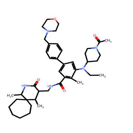 CCN(c1cc(-c2ccc(CN3CCOCC3)cc2)cc(C(=O)NCC2C(=O)NC(C)C3(CCCCCC3)C2C)c1C)C1CCN(C(C)=O)CC1